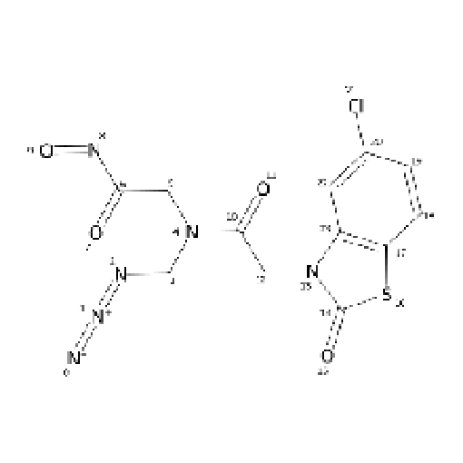 [N-]=[N+]=NCN(CC(=O)N=O)C(=O)Cn1c(=O)sc2ccc(Cl)cc21